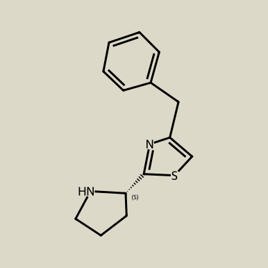 c1ccc(Cc2csc([C@@H]3CCCN3)n2)cc1